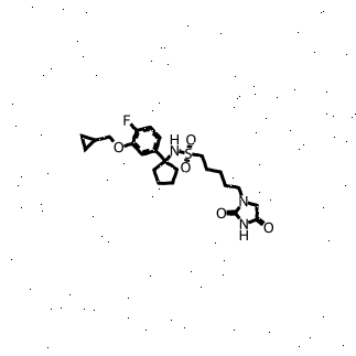 O=C1CN(CCCCCS(=O)(=O)NC2(c3ccc(F)c(OCC4CC4)c3)CCCC2)C(=O)N1